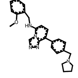 COc1ccccc1CNc1ccc(-c2ccc(CN3CCCC3)cc2)c2nncn12